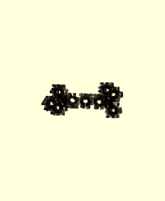 C1=CC(c2ccc(-c3ccc(N(c4ccccc4)c4cccc5ccccc45)cc3)cc2)CC=C1N(c1ccccc1)c1cccc2ccccc12